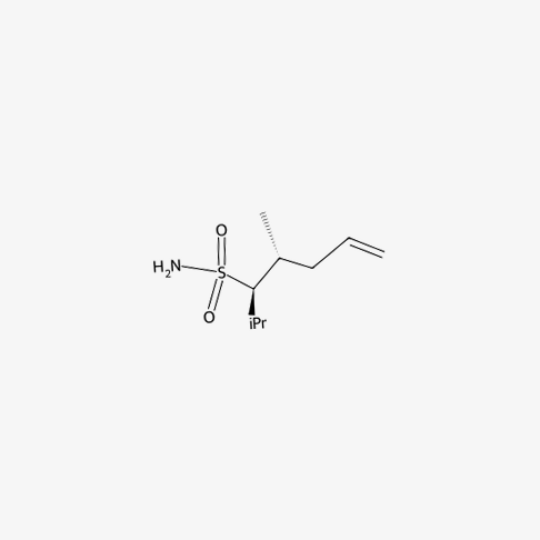 C=CC[C@@H](C)[C@@H](C(C)C)S(N)(=O)=O